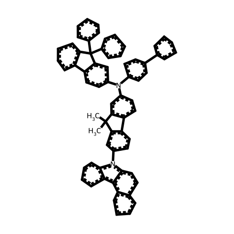 CC1(C)c2cc(N(c3ccc(-c4ccccc4)cc3)c3ccc4c(c3)C(c3ccccc3)(c3ccccc3)c3ccccc3-4)ccc2-c2ccc(-n3c4ccccc4c4c5ccccc5ccc43)cc21